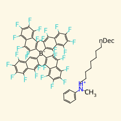 CCCCCCCCCCCCCCCCCC[NH+](C)c1ccccc1.Fc1c(F)c(F)c2c(F)c([B-](c3c(F)c(F)c4c(F)c(F)c(F)c(F)c4c3F)(c3c(F)c(F)c4c(F)c(F)c(F)c(F)c4c3F)c3c(F)c(F)c4c(F)c(F)c(F)c(F)c4c3F)c(F)c(F)c2c1F